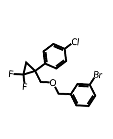 FC1(F)CC1(COCc1cccc(Br)c1)c1ccc(Cl)cc1